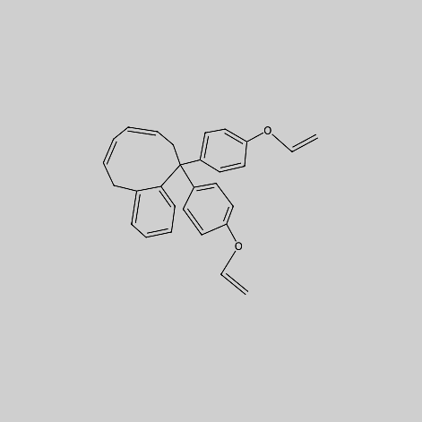 C=COc1ccc(C2(c3ccc(OC=C)cc3)C/C=C\C=C/Cc3ccccc32)cc1